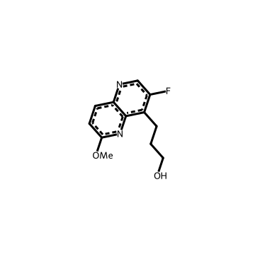 COc1ccc2ncc(F)c(CCCO)c2n1